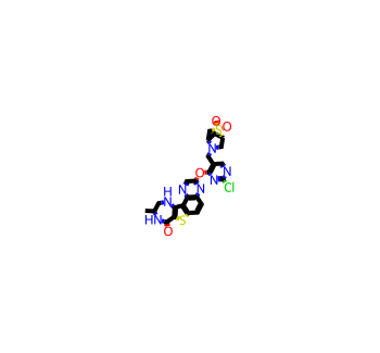 CC1CNc2c(sc3ccc4nc(Oc5nc(Cl)ncc5CN5CC6CC5CS6(=O)=O)cnc4c23)C(=O)N1